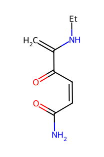 C=C(NCC)C(=O)/C=C\C(N)=O